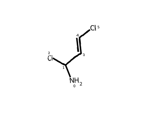 NC(Cl)C=CCl